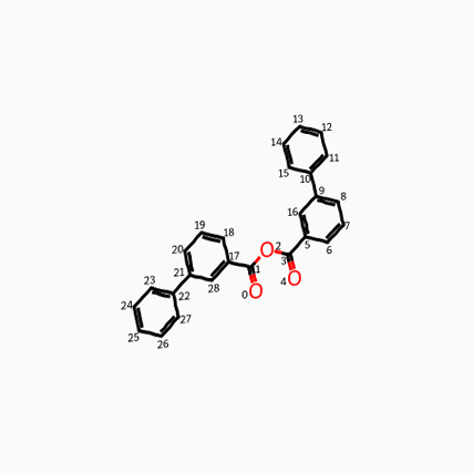 O=C(OC(=O)c1cccc(-c2ccccc2)c1)c1cccc(-c2ccccc2)c1